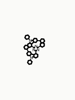 c1ccc(-c2ccc3c(c2)c2c(-c4nc(-c5ccccc5)nc(-c5cccc6c5c5cc(-c7ccccc7)ccc5n6-c5ccccc5)n4)cccc2n3-c2ccccc2)cc1